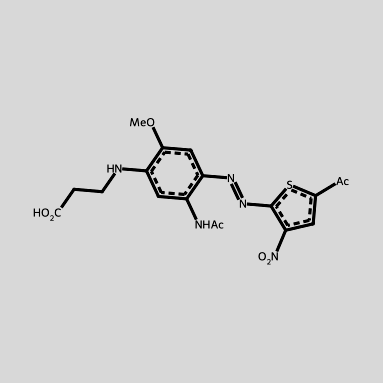 COc1cc(N=Nc2sc(C(C)=O)cc2[N+](=O)[O-])c(NC(C)=O)cc1NCCC(=O)O